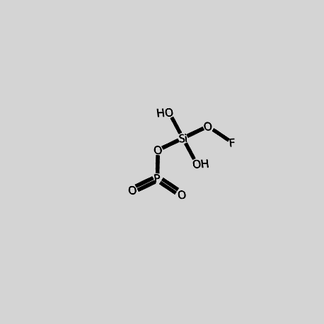 O=P(=O)O[Si](O)(O)OF